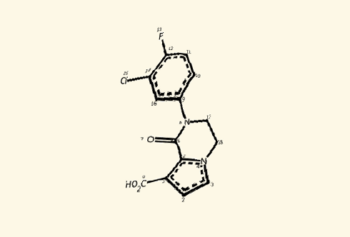 O=C(O)c1ccn2c1C(=O)N(c1ccc(F)c(Cl)c1)CC2